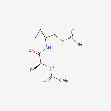 COC(=O)N[C@H](C(=O)NC1(CNC(=O)C(C)C)CC1)C(C)C